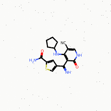 N#Cc1c[nH]c(=O)c(C(=N)c2csc(C(N)=O)c2)c1NC1CCCC1